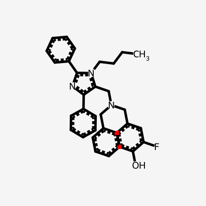 CCCCn1c(-c2ccccc2)nc(-c2ccccc2)c1CN(Cc1ccccc1)Cc1ccc(O)c(F)c1